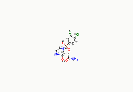 NC(=O)C[C@@H]1C(=O)NCCN1S(=O)(=O)c1ccc(Cl)c(Cl)c1